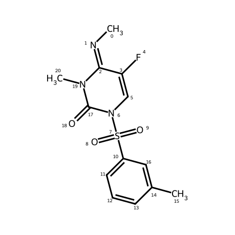 C/N=c1\c(F)cn(S(=O)(=O)c2cccc(C)c2)c(=O)n1C